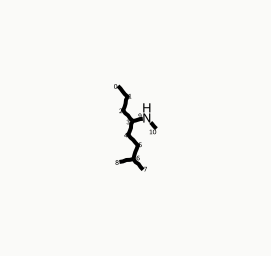 CCCC(CCC(C)C)NC